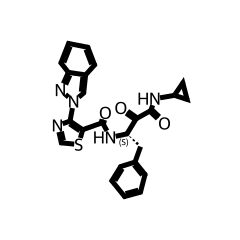 O=C(NC1CC1)C(=O)[C@H](Cc1ccccc1)NC(=O)c1scnc1-n1cc2ccccc2n1